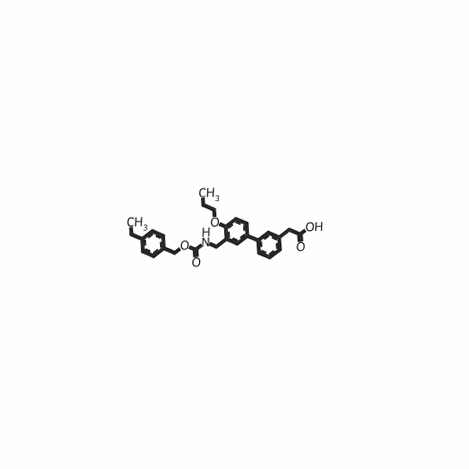 CCCOc1ccc(-c2cccc(CC(=O)O)c2)cc1CNC(=O)OCc1ccc(CC)cc1